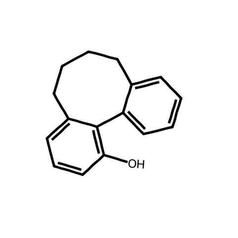 Oc1cccc2c1-c1ccccc1CCCC2